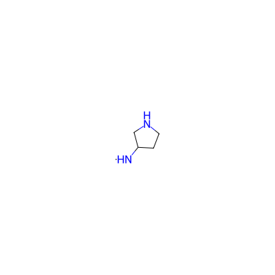 [NH]C1CCNC1